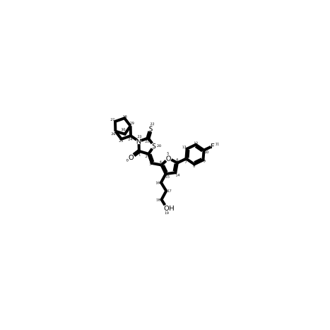 O=C1C(=Cc2oc(-c3ccc(F)cc3)cc2CCCO)SC(=S)N1C1CC2CCC1C2